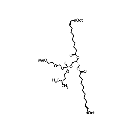 CCCCCCCCC=CCCCCCCCCC(=O)OC[C@H](COP(=O)(OCCN(C)C)OCOCCOC)OC(=O)CCCCCCC/C=C\CCCCCCCC